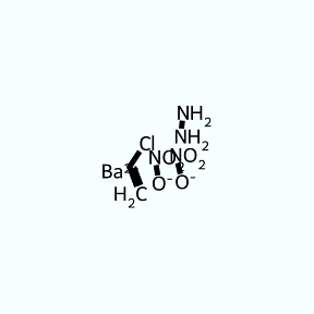 C=CCl.NN.O=[N+]([O-])[O-].O=[N+]([O-])[O-].[Ba+2]